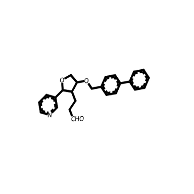 O=CCCC1C(OCc2ccc(-c3ccccc3)cc2)COC1c1cccnc1